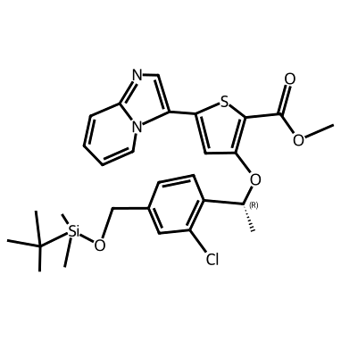 COC(=O)c1sc(-c2cnc3ccccn23)cc1O[C@H](C)c1ccc(CO[Si](C)(C)C(C)(C)C)cc1Cl